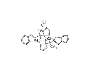 CC(C)(C1=Cc2ccccc2C1)[C]1([Zr+2][C]2(C(C)(C)C3=Cc4ccccc4C3)C=CC=C2)C=CC=C1.[Cl-].[Cl-]